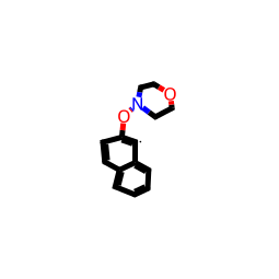 [c]1c(ON2CCOCC2)ccc2ccccc12